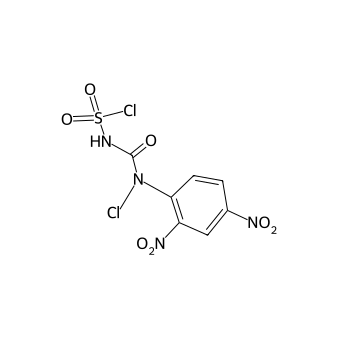 O=C(NS(=O)(=O)Cl)N(Cl)c1ccc([N+](=O)[O-])cc1[N+](=O)[O-]